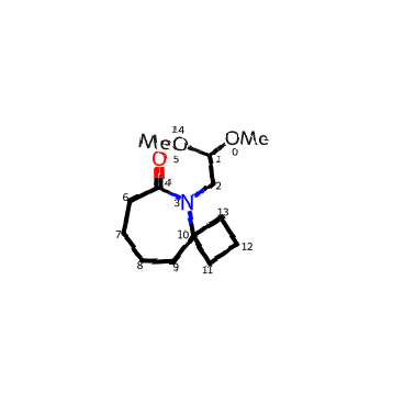 COC(CN1C(=O)CCCCC12CCC2)OC